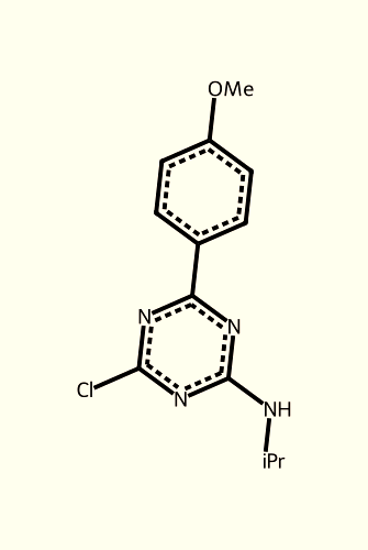 COc1ccc(-c2nc(Cl)nc(NC(C)C)n2)cc1